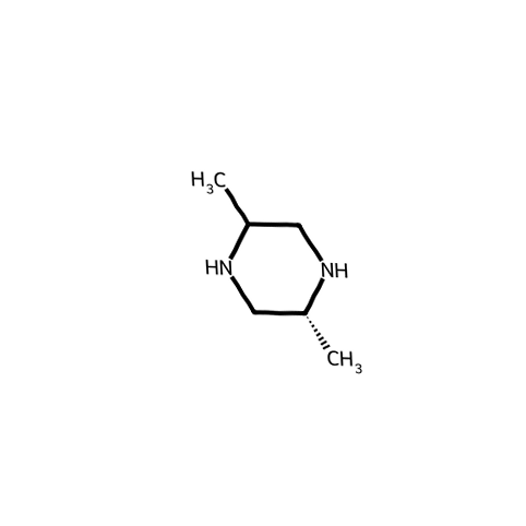 CC1CN[C@H](C)CN1